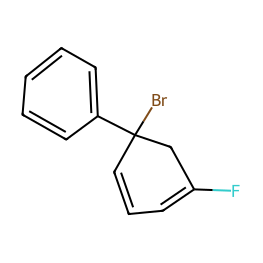 FC1=CC=CC(Br)(c2ccccc2)C1